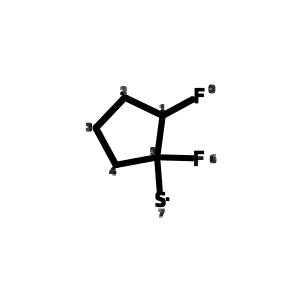 FC1CCCC1(F)[S]